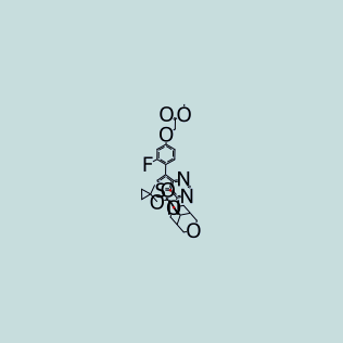 COC(=O)COc1ccc(-c2csc3c(OC4C5COCC4CN(C(=O)OC4(C)CC4)C5)ncnc23)c(F)c1